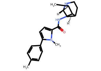 Cc1ccc(-c2ccc(C(=O)N[C@@H]3C4CCN(CC4)[C@H]3C)n2C)cc1